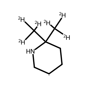 [2H]C([2H])([2H])C1(C([2H])([2H])[2H])CC[CH]CN1